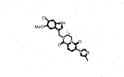 COc1cc2c(CN3C(=O)c4ccc(-n5cnc(C)c5)c(=O)n4C[C@H]3C)c[nH]c2cc1Cl